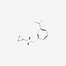 CCC(C(=O)O)c1cccc(NS(=O)(=O)C2CC2)n1